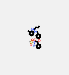 CCCc1nc2c(C)cccc2n1Cc1ccc(OC(C(=O)NS(C)(=O)=O)c2ccccc2)cc1